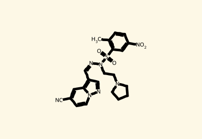 Cc1ccc([N+](=O)[O-])cc1S(=O)(=O)N(CCN1CCCC1)/N=C\c1cnn2ccc(C#N)cc12